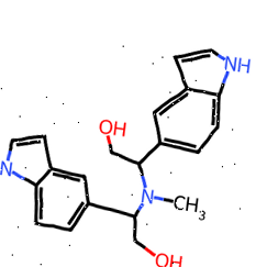 CN(C(CO)c1ccc2[nH]ccc2c1)C(CO)c1ccc2[nH]ccc2c1